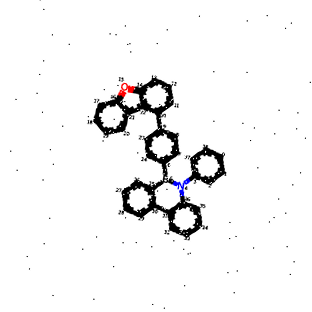 c1ccc(N2B(c3ccc(-c4cccc5oc6ccccc6c45)cc3)c3ccccc3-c3ccccc32)cc1